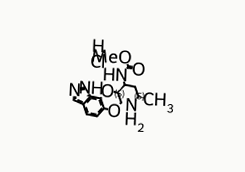 COC(=O)NC(C[C@H](C)N)[C@H]1COc2ccc3cn[nH]c3c2O1.Cl